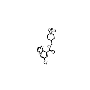 CCCCN1CCC(COC(=O)c2cc(Cl)cn3ccnc23)CC1